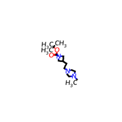 CCN1CCN(CCC2CN(C(=O)OC(C)(C)C)C2)CC1